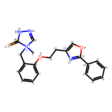 C[N+]1(Cc2ccccc2OCCc2coc(-c3ccccc3)n2)C=NNC1=S